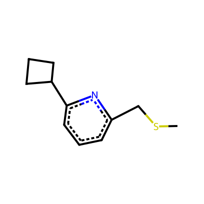 CSCc1cccc(C2CCC2)n1